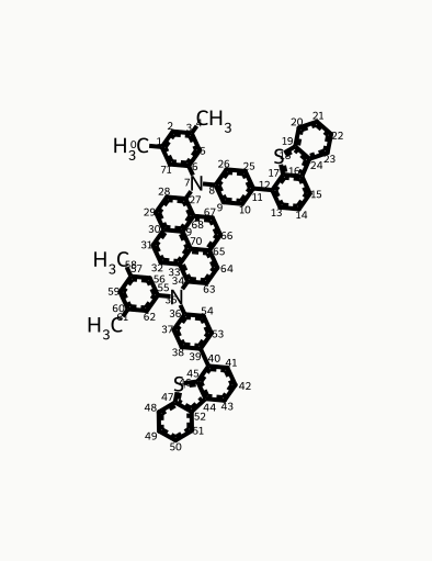 Cc1cc(C)cc(N(c2ccc(-c3cccc4c3sc3ccccc34)cc2)c2ccc3ccc4c(N(c5ccc(-c6cccc7c6sc6ccccc67)cc5)c5cc(C)cc(C)c5)ccc5ccc2c3c54)c1